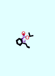 C=CCc1ccccc1[PH](=O)OC(C)C